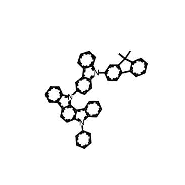 CC1(C)c2ccccc2-c2ccc(-n3c4ccccc4c4cc(-n5c6ccccc6c6ccc7c(c8ccccc8n7-c7ccccc7)c65)ccc43)cc21